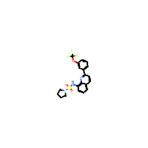 O=S(=O)(Nc1cccc2ccc(-c3cccc(OC(F)(F)F)c3)nc12)N1CCCC1